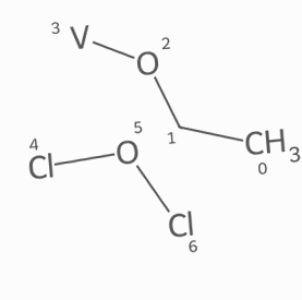 CC[O][V].ClOCl